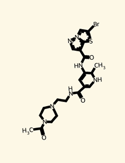 CC(=O)N1CCN(CCNC(=O)C2=CNC(C)C(NC(=O)c3cnn4cc(Br)sc34)=C2)CC1